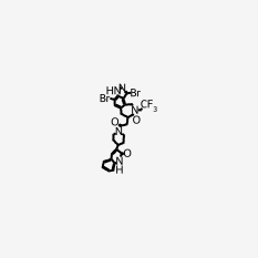 O=C(CC1Cc2cc(Br)c3[nH]nc(Br)c3c2CN(CC(F)(F)F)C1=O)N1CCC(c2cc3ccccc3[nH]c2=O)CC1